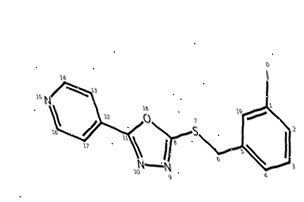 Ic1cccc(CSc2nnc(-c3ccncc3)o2)c1